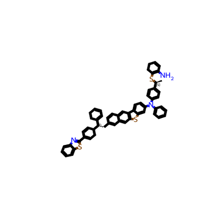 C[C@H](SC1=C(N)C=CCC1)c1ccc(N(c2ccccc2)c2ccc3c(c2)sc2cc4cc(C[C@@H](C5=CC=CCC5)C5C=CC(c6nc7ccccc7s6)=CC5)ccc4cc23)cc1